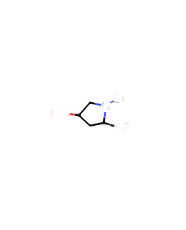 CCN1CC(O)CC1C(F)(F)F